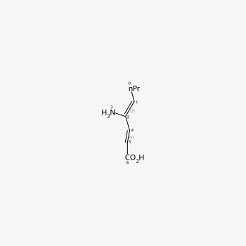 CCC/C=C(N)/C=C/C(=O)O